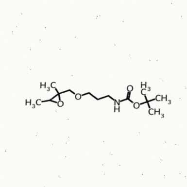 CC1OC1(C)COCCCNC(=O)OC(C)(C)C